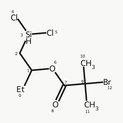 CCC(C[SiH](Cl)Cl)OC(=O)C(C)(C)Br